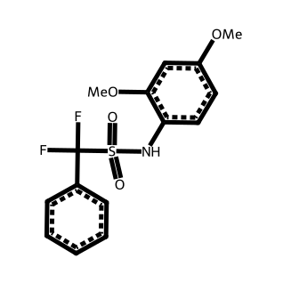 COc1ccc(NS(=O)(=O)C(F)(F)c2ccccc2)c(OC)c1